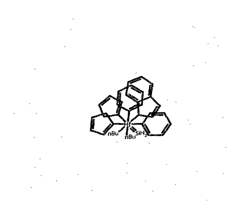 CCC[CH2][Hf](=[SiH2])([CH2]CCC)([C]1=CC=CC1)([C]1=CC=CC1)([c]1ccccc1)([c]1ccccc1)[CH]1C=Cc2ccccc21